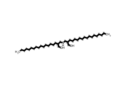 CCCCCCCCCCCCCCCCC(CO)CNCC(CO)CCCCCCCCCCCCCCCC